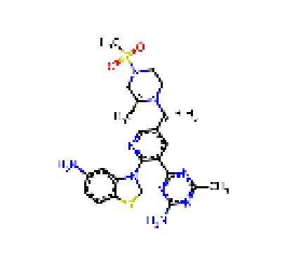 Cc1nc(N)nc(-c2cc([C@@H](C)N3CCN(S(C)(=O)=O)C[C@@H]3C)cnc2N2CSc3ccc(N)cc32)n1